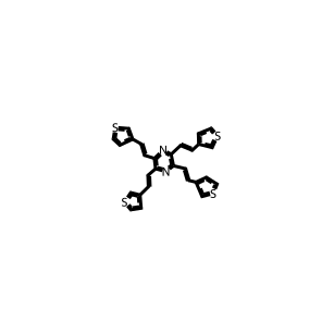 C(=Cc1nc(C=Cc2ccsc2)c(C=Cc2ccsc2)nc1C=Cc1ccsc1)c1ccsc1